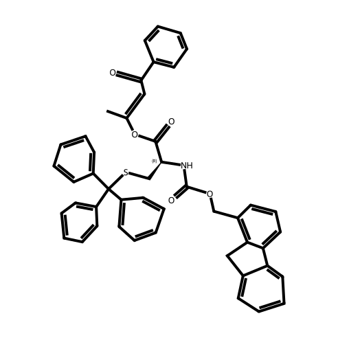 CC(=CC(=O)c1ccccc1)OC(=O)[C@H](CSC(c1ccccc1)(c1ccccc1)c1ccccc1)NC(=O)OCc1cccc2c1Cc1ccccc1-2